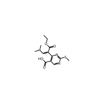 CCOC(=O)/C(=C\N(C)C)c1nc(SC)ncc1C(=O)O